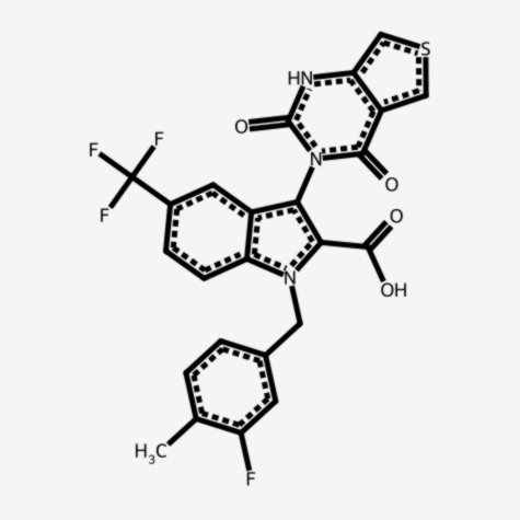 Cc1ccc(Cn2c(C(=O)O)c(-n3c(=O)[nH]c4cscc4c3=O)c3cc(C(F)(F)F)ccc32)cc1F